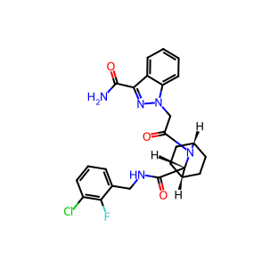 NC(=O)c1nn(CC(=O)N2[C@H]3CC[C@H](CC3)[C@@H]2C(=O)NCc2cccc(Cl)c2F)c2ccccc12